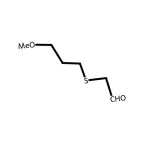 COCCCSCC=O